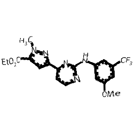 CCOC(=O)c1cc(-c2ccnc(Nc3cc(OC)cc(C(F)(F)F)c3)n2)nn1C